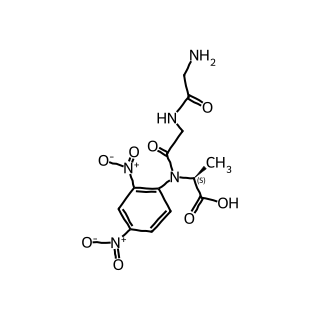 C[C@@H](C(=O)O)N(C(=O)CNC(=O)CN)c1ccc([N+](=O)[O-])cc1[N+](=O)[O-]